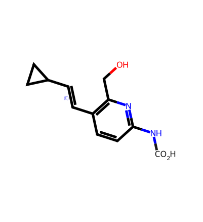 O=C(O)Nc1ccc(/C=C/C2CC2)c(CO)n1